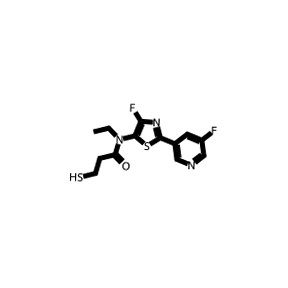 CCN(C(=O)CCS)c1sc(-c2cncc(F)c2)nc1F